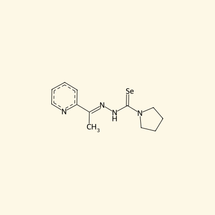 CC(=NNC(=[Se])N1CCCC1)c1ccccn1